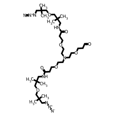 CC(C)(CN=[N+]=[N-])COCC(C)(C)CNC(=O)CCOCCN(CCOCCC=O)CCOCCC(=O)NCC(C)(C)COCC(C)(C)CN=[N+]=[N-]